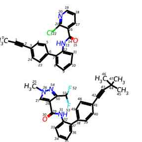 CC#Cc1ccc(-c2ccccc2NC(=O)c2cccnc2Cl)cc1.Cn1cc(C(=O)Nc2ccccc2-c2ccc(C#CC(C)(C)C)cc2)c(C(F)F)n1